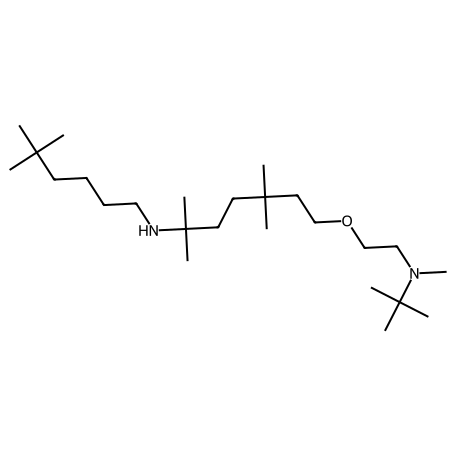 CN(CCOCCC(C)(C)CCC(C)(C)NCCCCC(C)(C)C)C(C)(C)C